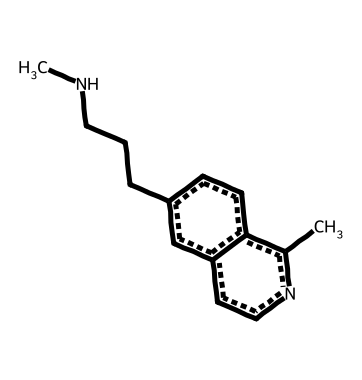 CNCCCc1ccc2c(C)nccc2c1